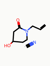 C=CCN1CCC(O)CC1=O.[C]#N